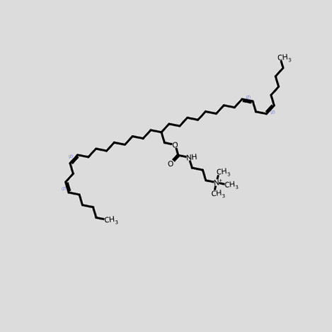 CCCCC/C=C\C/C=C\CCCCCCCCC(CCCCCCCC/C=C\C/C=C\CCCCC)COC(=O)NCCC[N+](C)(C)C